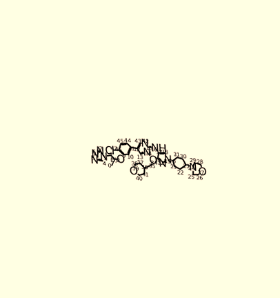 C[C@@H](Cn1cnnn1)Oc1cc(-c2cnc(Nc3cn([C@H]4CC[C@H](N5CCOCC5)CC4)nc3OCC3CCOCC3)nc2)ccc1Cl